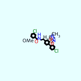 COc1ccc(Cl)cc1C(=O)NCCc1ccc(-c2ccc(Cl)cc2)c(S(=O)(=O)/N=C\N(C)C)c1